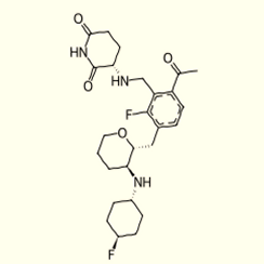 CC(=O)c1ccc(C[C@H]2OCCC[C@@H]2N[C@H]2CC[C@H](F)CC2)c(F)c1CN[C@H]1CCC(=O)NC1=O